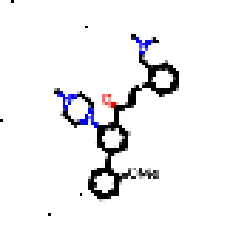 COc1ccccc1-c1ccc(C(=O)C=Cc2ccccc2CN(C)C)c(N2CCN(C)CC2)c1